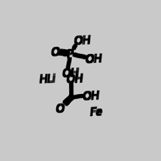 O=C(O)O.O=P(O)(O)O.[Fe].[LiH]